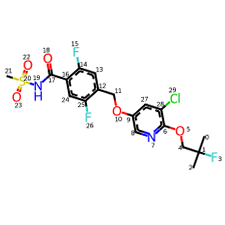 CC(C)(F)COc1ncc(OCc2cc(F)c(C(=O)NS(C)(=O)=O)cc2F)cc1Cl